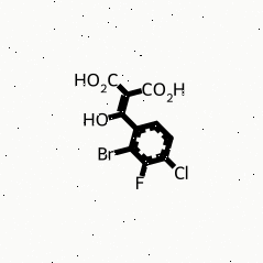 O=C(O)C(C(=O)O)=C(O)c1ccc(Cl)c(F)c1Br